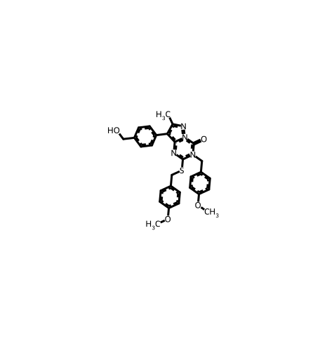 COc1ccc(CSc2nc3c(-c4ccc(CO)cc4)c(C)nn3c(=O)n2Cc2ccc(OC)cc2)cc1